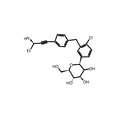 CCC[C@@H](C#Cc1ccc(Cc2cc([C@@H]3O[C@H](CO)[C@@H](O)[C@H](O)C3O)ccc2Cl)cc1)CC